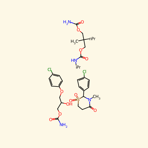 CCCC(C)(COC(N)=O)COC(=O)NC(C)C.CN1C(=O)CCS(=O)(=O)C1c1ccc(Cl)cc1.NC(=O)OCC(O)COc1ccc(Cl)cc1